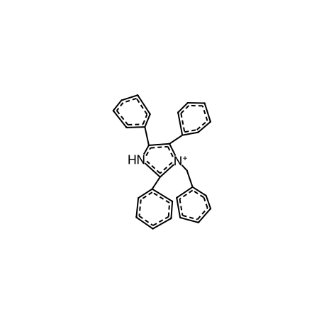 c1ccc(C[n+]2c(-c3ccccc3)[nH]c(-c3ccccc3)c2-c2ccccc2)cc1